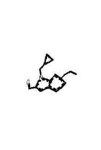 CCc1ccc2cc(C=O)n(CC3CC3)c2c1